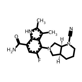 Cc1[nH]c2c(C(N)=O)cc(F)c(N3C[C@@H]4CCCN(C#N)[C@@H]4C3)c2c1C